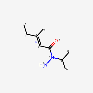 CC/C(C)=C/C(=O)N(N)C(C)C